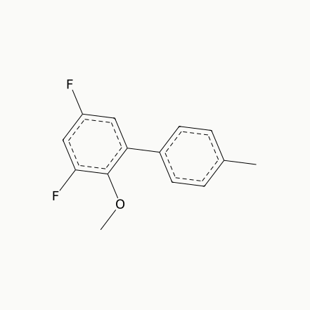 COc1c(F)cc(F)cc1-c1ccc(C)cc1